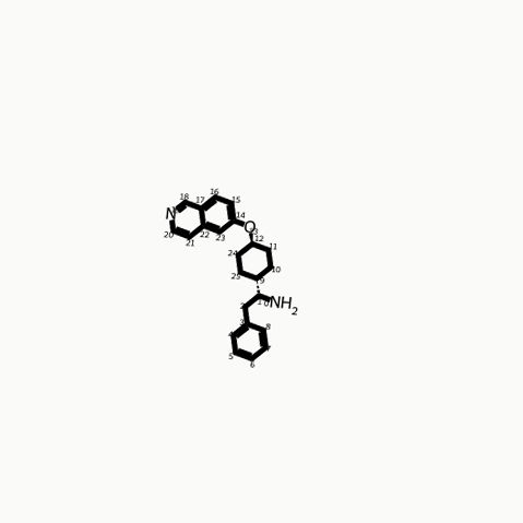 NC(Cc1ccccc1)[C@H]1CC[C@H](Oc2ccc3cnccc3c2)CC1